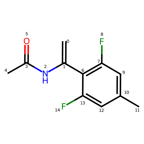 C=C(NC(C)=O)c1c(F)cc(C)cc1F